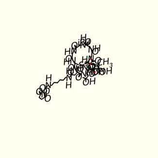 CCC(C)C1NC(=O)CNC(=O)C2Cc3c([nH]c4cc(O)ccc34)[S+]([O-])CC(NC(=O)CNC1=O)C(=O)NC(CC(=O)NCCCCCCNC(=O)ON1C(=O)CCC1=O)C(=O)N1CC(O)CC1C(=O)NC(C(C)C(O)CO)C(=O)N2